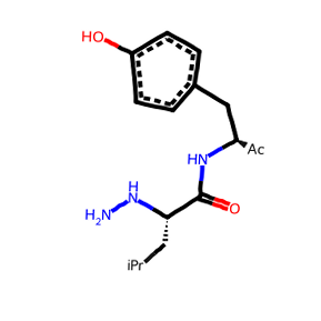 CC(=O)[C@H](Cc1ccc(O)cc1)NC(=O)[C@H](CC(C)C)NN